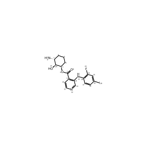 N[C@@H]1CCC[C@@H](OC(=O)c2ccncc2Nc2ccc(I)cc2F)[C@H]1O